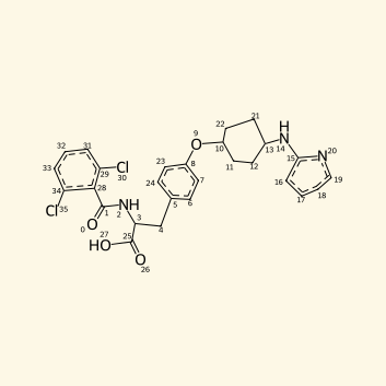 O=C(NC(Cc1ccc(OC2CCC(Nc3ccccn3)CC2)cc1)C(=O)O)c1c(Cl)cccc1Cl